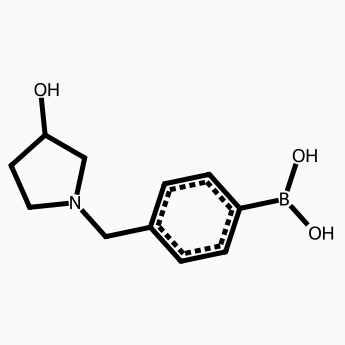 OB(O)c1ccc(CN2CCC(O)C2)cc1